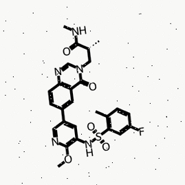 CNC(=O)[C@H](C)Cn1cnc2ccc(-c3cnc(OC)c(NS(=O)(=O)c4cc(F)ccc4C)c3)cc2c1=O